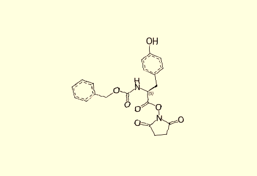 O=C(N[C@@H](Cc1ccc(O)cc1)C(=O)ON1C(=O)CCC1=O)OCc1ccccc1